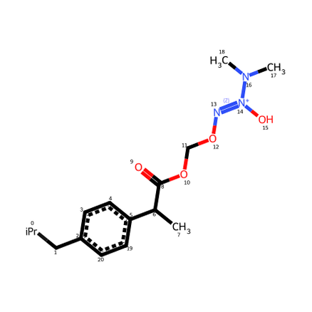 CC(C)Cc1ccc(C(C)C(=O)OCO/N=[N+](\O)N(C)C)cc1